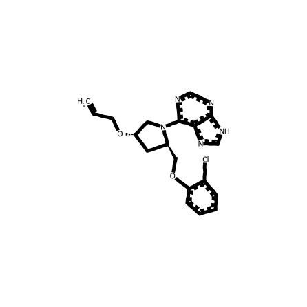 C=CCO[C@H]1C[C@H](COc2ccccc2Cl)N(c2ncnc3[nH]cnc23)C1